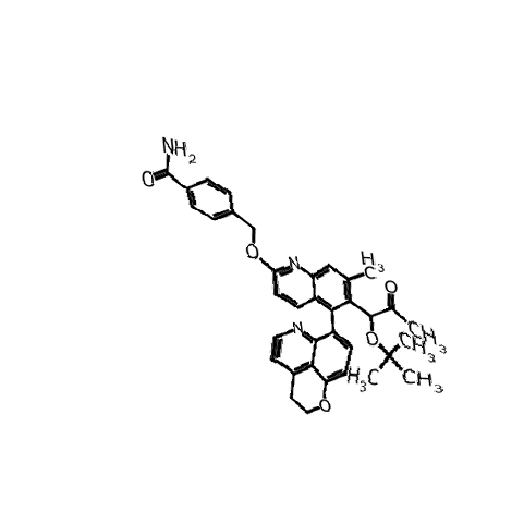 CC(=O)C(OC(C)(C)C)c1c(C)cc2nc(OCc3ccc(C(N)=O)cc3)ccc2c1-c1ccc2c3c(ccnc13)CCO2